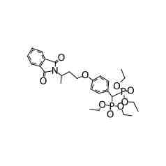 CCOP(=O)(OCC)C(c1ccc(OCCC(C)N2C(=O)c3ccccc3C2=O)cc1)P(=O)(OCC)OCC